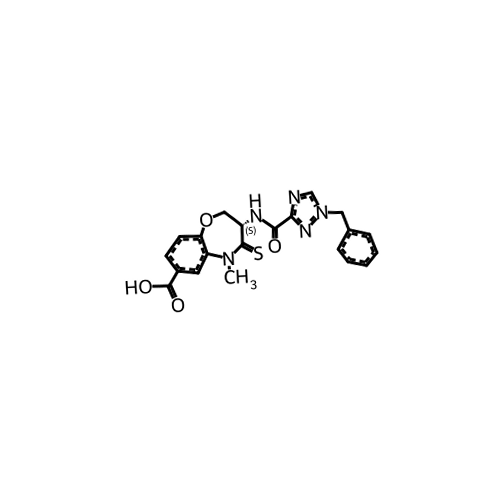 CN1C(=S)[C@@H](NC(=O)c2ncn(Cc3ccccc3)n2)COc2ccc(C(=O)O)cc21